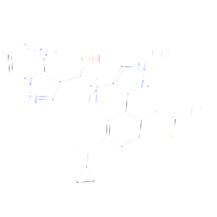 Cn1cc(NC(O)c2cnn3cccnc23)c(-c2cc(SC3CC3)ccc2OC(F)F)n1